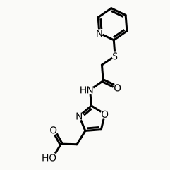 O=C(O)Cc1coc(NC(=O)CSc2ccccn2)n1